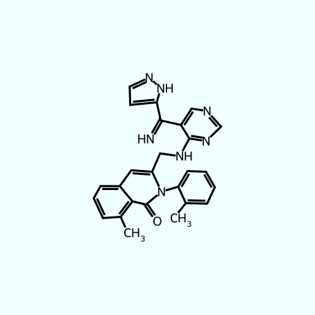 Cc1ccccc1-n1c(CNc2ncncc2C(=N)c2ccn[nH]2)cc2cccc(C)c2c1=O